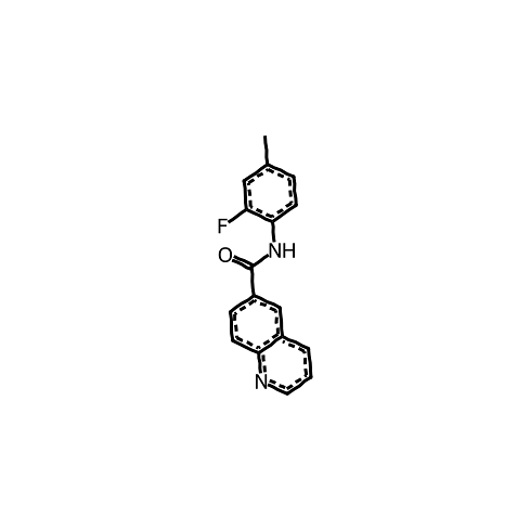 Cc1ccc(NC(=O)c2ccc3ncccc3c2)c(F)c1